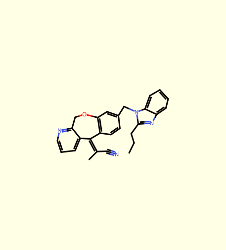 CCCc1nc2ccccc2n1Cc1ccc2c(c1)OCc1ncccc1/C2=C(\C)C#N